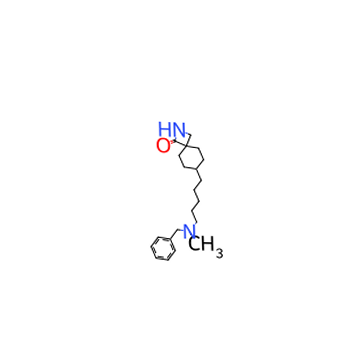 CN(CCCCCC1CCC2(CC1)CNC2=O)Cc1ccccc1